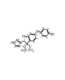 CCC(Cc1nc[nH]n1)(OC)c1ccc(Oc2ccc(Cl)cc2)cc1Cl